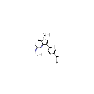 C=c1/c(=C\C(Cl)=C/N)c(-c2ccc(C(=O)N=O)cn2)cn1N